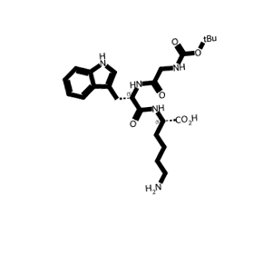 CC(C)(C)OC(=O)NCC(=O)N[C@@H](Cc1c[nH]c2ccccc12)C(=O)N[C@@H](CCCCN)C(=O)O